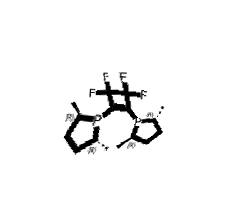 C[C@@H]1CC[C@@H](C)P1C1=C(P2[C@H](C)CC[C@H]2C)C(F)(F)C1(F)F